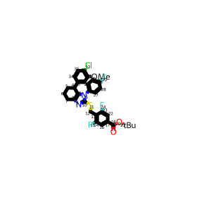 COc1cc(C2CCCc3nc(SCc4c(F)cc(C(=O)OC(C)(C)C)cc4F)n(-c4ccc(F)cc4)c32)ccc1Cl